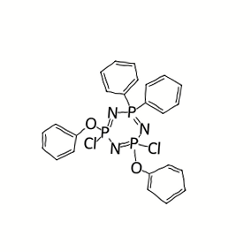 ClP1(Oc2ccccc2)=NP(Cl)(Oc2ccccc2)=NP(c2ccccc2)(c2ccccc2)=N1